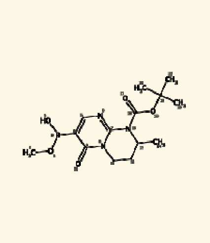 COB(O)c1cnc2n(c1=O)CCC(C)N2C(=O)OC(C)(C)C